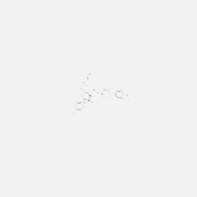 CCCCCCCCOc1cnc(-c2ccc(C(OC(c3ccc(-c4ncc(OCCCCCCCC)cn4)cc3)[C@H]3OC(=O)O[C@H]3CCC)[C@H]3OC(=O)O[C@H]3CCC)cc2)nc1